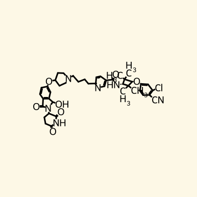 CC1(C)[C@H](NC(=O)c2ccc(CCCCN3CCC(Oc4ccc5c(c4)C(O)N(C4CCC(=O)NC4=O)C5=O)CC3)nc2)C(C)(C)[C@H]1Oc1ccc(C#N)c(Cl)c1